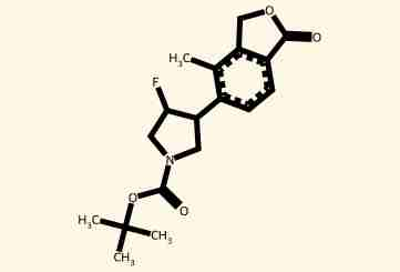 Cc1c(C2CN(C(=O)OC(C)(C)C)CC2F)ccc2c1COC2=O